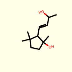 CC(O)C=CC1C(C)(C)CCC1(C)O